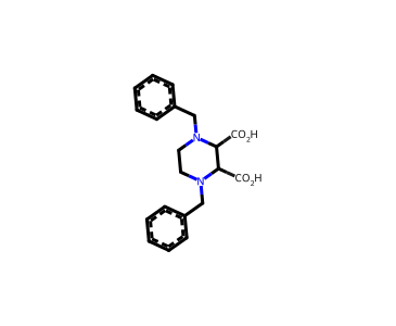 O=C(O)C1C(C(=O)O)N(Cc2ccccc2)CCN1Cc1ccccc1